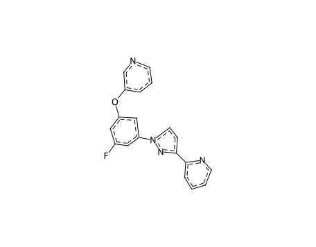 Fc1cc(Oc2cccnc2)cc(-n2ccc(-c3ccccn3)n2)c1